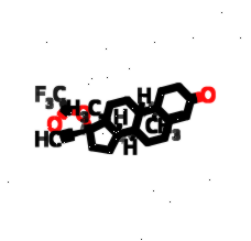 C#C[C@]1(OC(=O)C(F)(F)F)CC[C@H]2[C@@H]3CCC4=CC(=O)CC[C@]4(C)[C@H]3CC[C@@]21C